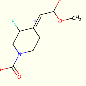 COC(O)/C=C1\CCN(C(=O)O)CC1F